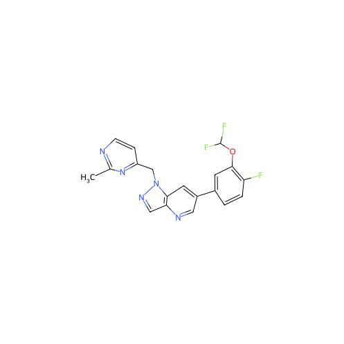 Cc1nccc(Cn2ncc3ncc(-c4ccc(F)c(OC(F)F)c4)cc32)n1